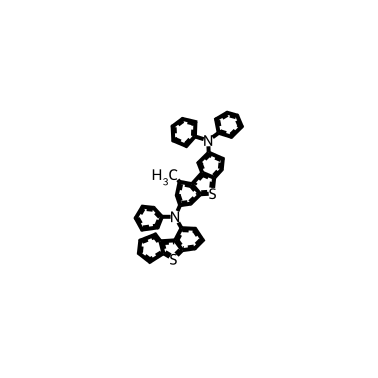 Cc1cc(N(c2ccccc2)c2cccc3sc4ccccc4c23)cc2sc3ccc(N(c4ccccc4)c4ccccc4)cc3c12